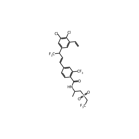 C=Cc1cc(C(/C=C/c2ccc(C(=O)NC(C)CS(=O)(=O)CC(F)(F)F)c(C(F)(F)F)c2)C(F)(F)F)cc(Cl)c1Cl